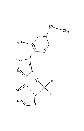 COc1ccc(-c2nc(-c3ncccc3C(F)(F)F)n[nH]2)c(O)c1